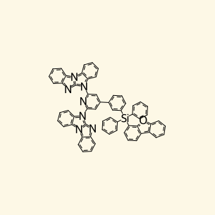 c1ccc([Si](c2ccccc2)(c2cccc(-c3cc(-n4c5ccccc5n5c6ccccc6nc45)nc(-n4c5ccccc5n5c6ccccc6nc45)c3)c2)c2cccc3c2oc2ccccc23)cc1